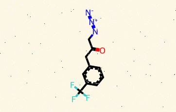 [N-]=[N+]=NCC(=O)Cc1cccc(C(F)(F)F)c1